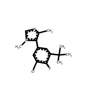 Cc1ncn(C)c1-c1cc(Cl)c(F)c(C(C)(C)C)c1